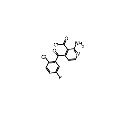 Nc1nccc(C(=O)c2cc(F)ccc2Cl)c1C(=O)Cl